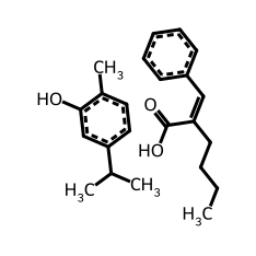 CCCCC(=Cc1ccccc1)C(=O)O.Cc1ccc(C(C)C)cc1O